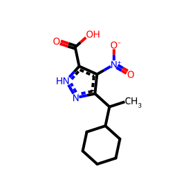 CC(c1n[nH]c(C(=O)O)c1[N+](=O)[O-])C1CCCCC1